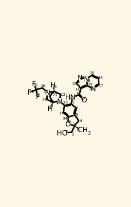 C[C@]1(CO)Cc2cc(NC(=O)c3cnn4cccnc34)c(N3C[C@@H]4C[C@H]3CN4CC(F)(F)F)cc2O1